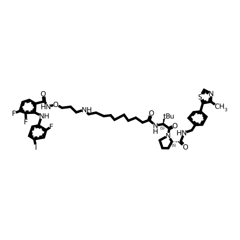 Cc1ncsc1-c1ccc(CNC(=O)[C@@H]2CCCN2C(=O)[C@@H](NC(=O)CCCCCCCCCNCCCONC(=O)c2ccc(F)c(F)c2Nc2ccc(I)cc2F)C(C)(C)C)cc1